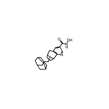 O=C(NO)c1cnc2c(c1)CC1CCC2N1CC12CC3CC(CC(C3)C1)C2